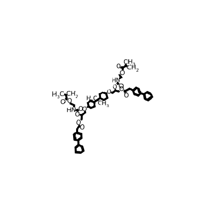 C=C(C)C(=O)OCCNC(=O)OC(COC(=O)Cc1ccc(-c2ccccc2)cc1)COC1CCC(C(C)(C)C2CCC(OCC(COC(=O)Cc3ccc(-c4ccccc4)cc3)OC(=O)NCCOC(=O)C(=C)C)CC2)CC1